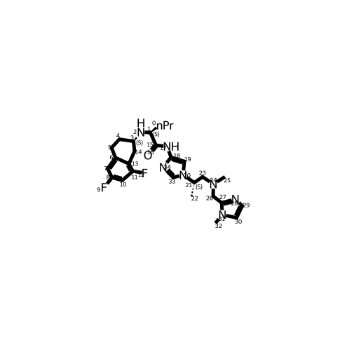 CCC[C@H](N[C@H]1CCc2cc(F)cc(F)c2C1)C(=O)Nc1cn([C@@H](C)CN(C)Cc2nccn2C)cn1